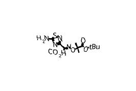 CC(C)(C)OC(=O)C(C)(C)ON=C(C(=O)O)c1nsc(N)n1